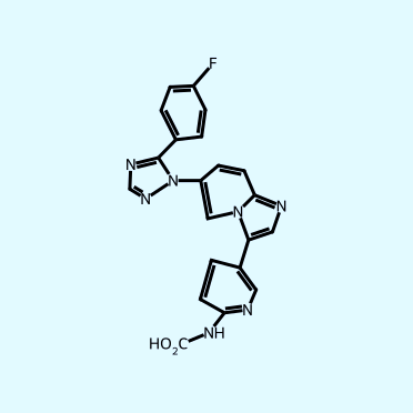 O=C(O)Nc1ccc(-c2cnc3ccc(-n4ncnc4-c4ccc(F)cc4)cn23)cn1